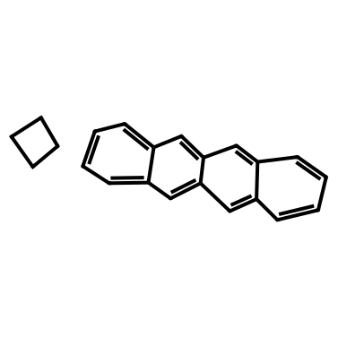 C1CCC1.c1ccc2cc3cc4ccccc4cc3cc2c1